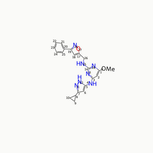 COc1cc(Nc2cc(C3CC3)n[nH]2)nc(NCc2cc(-c3ccccc3)no2)n1